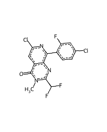 Cn1c(C(F)F)nc2c(-c3ccc(Cl)cc3F)nc(Cl)cc2c1=O